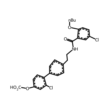 CCCCOc1ccc(Cl)cc1C(=O)NCCc1ccc(-c2ccc(OC(=O)O)cc2Cl)cc1